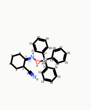 N#CC1CCCC/C1=N/O[Si](c1ccccc1)(c1ccccc1)c1ccccc1